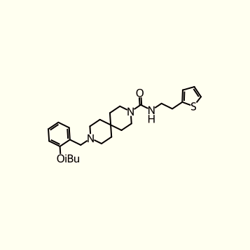 CC(C)COc1ccccc1CN1CCC2(CC1)CCN(C(=O)NCCc1cccs1)CC2